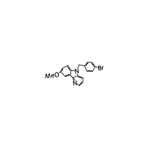 COc1ccc2c(c1)c1ncccc1n2Cc1ccc(Br)cc1